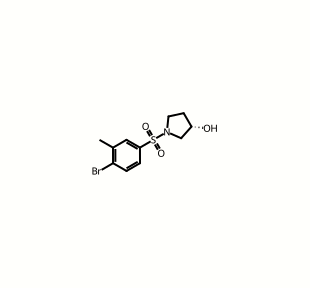 Cc1cc(S(=O)(=O)N2CC[C@H](O)C2)ccc1Br